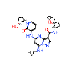 CNc1cc(Nc2cccn([C@H]3CC[C@@H]3O)c2=O)nc2c(C(=O)N[C@H]3CC[C@@H]3OC)cnn12